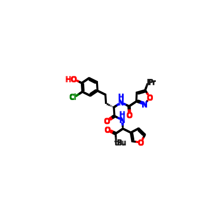 CC(C)c1cc(C(=O)N[C@@H](CCc2ccc(O)c(Cl)c2)C(=O)N[C@H](C(=O)C(C)(C)C)c2ccoc2)no1